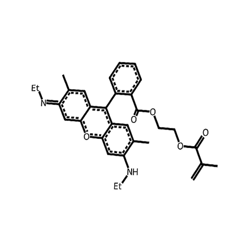 C=C(C)C(=O)OCCOC(=O)c1ccccc1-c1c2cc(C)/c(=N\CC)cc-2oc2cc(NCC)c(C)cc12